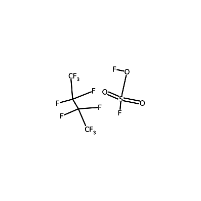 FC(F)(F)C(F)(F)C(F)(F)C(F)(F)F.O=S(=O)(F)OF